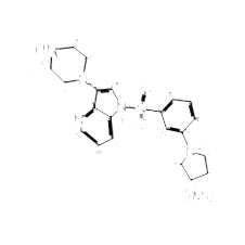 CO[C@H]1CCN(c2cccc(S(=O)(=O)n3cc(N4CCN[C@@H](C)C4)c4ncccc43)c2)C1